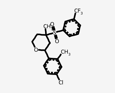 Cc1cc(Cl)ccc1C1CC(C)(S(=O)(=O)c2cccc(C(F)(F)F)c2)CCO1